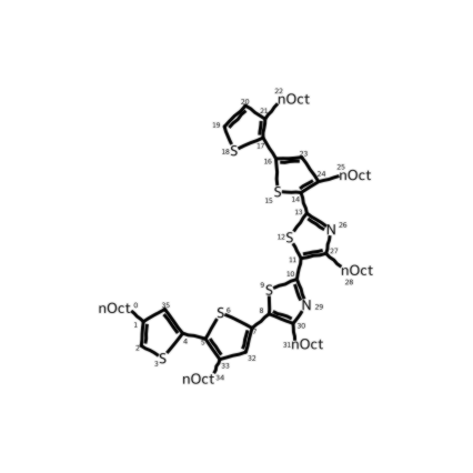 CCCCCCCCc1csc(-c2sc(-c3sc(-c4sc(-c5sc(-c6sccc6CCCCCCCC)cc5CCCCCCCC)nc4CCCCCCCC)nc3CCCCCCCC)cc2CCCCCCCC)c1